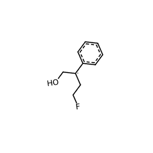 OC[C](CCF)c1ccccc1